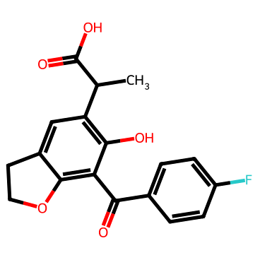 CC(C(=O)O)c1cc2c(c(C(=O)c3ccc(F)cc3)c1O)OCC2